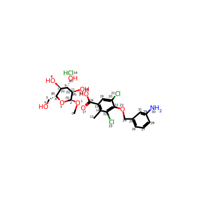 CO[C@H]1O[C@H](CO)[C@@H](O)[C@H](O)[C@H]1O.Cc1c(C(=O)O)cc(Cl)c(OCc2cccc(N)c2)c1Cl.Cl